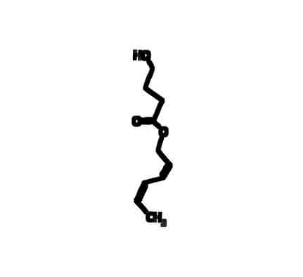 C/C=C\C=C/COC(=O)CCCO